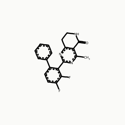 Cc1nc(-c2c(-c3ccccc3)ccc(F)c2F)nc2c1C(=O)NCC2